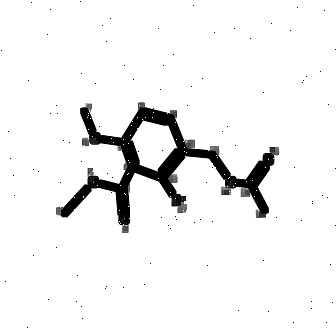 COC(=O)c1c(OC)ccc(COC(C)=O)c1Br